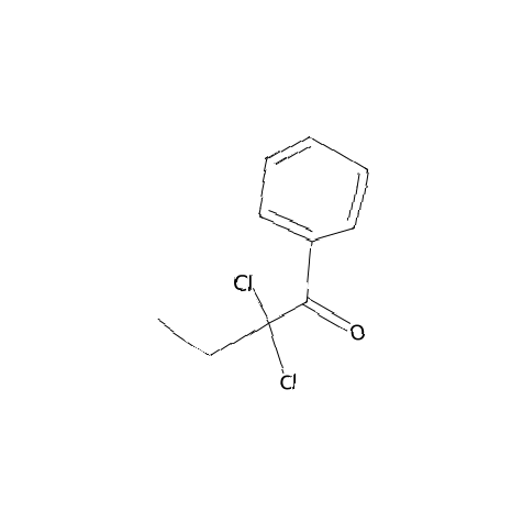 CCC(Cl)(Cl)C(=O)c1ccccc1